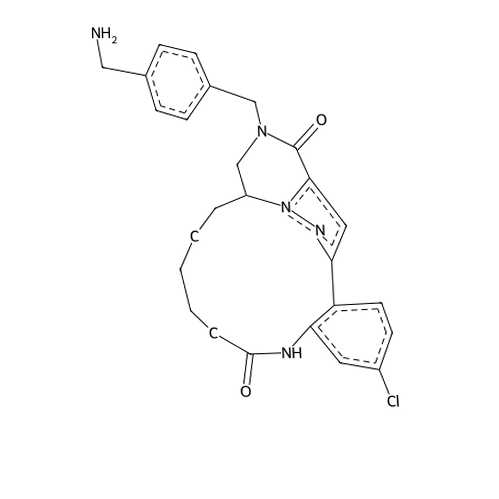 NCc1ccc(CN2CC3CCCCCC(=O)Nc4cc(Cl)ccc4-c4cc(n3n4)C2=O)cc1